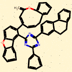 C=C1/C=C(c2ccc3oc4ccccc4c3c2-c2nc(-c3ccccc3)nc(-c3ccc4c(c3)CCc3ccccc3-4)n2)\C=C/Cc2ccccc2O1